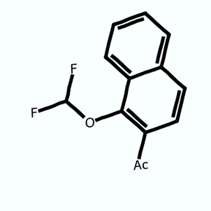 CC(=O)c1ccc2ccccc2c1OC(F)F